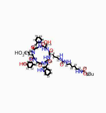 C[C@@H](O)[C@@H]1NC(=O)[C@H](CCCCNC(=O)NCCCCCCNC(=O)OC(C)(C)C)NC(=O)[C@@H](Cc2c[nH]c3ccccc23)NC(=O)[C@H](Cc2ccc(O)cc2)NC(=O)[C@H](CCC(=O)O)N(C)C(=O)[C@H](Cc2ccccc2)NC1=O